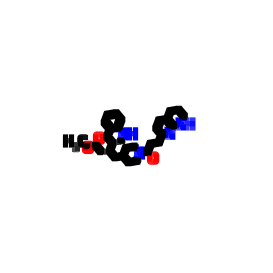 COC(=O)C[C@@H](CC1CCN(C(=O)CCc2ccc3c(n2)NCCC3)CC1)[C@H]1CNc2ccccc2C1